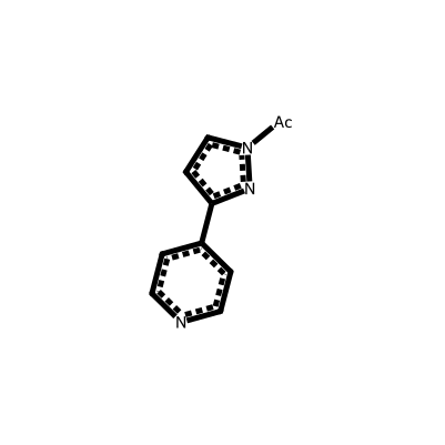 CC(=O)n1ccc(-c2ccncc2)n1